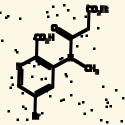 CCOC(=O)CC(=O)N(C)c1cc(Br)cnc1C(=O)O